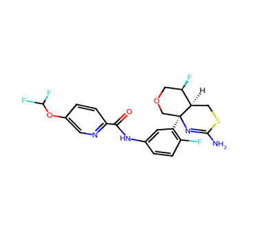 NC1=N[C@@]2(c3cc(NC(=O)c4ccc(OC(F)F)cn4)ccc3F)COC[C@@H](F)[C@H]2CS1